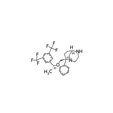 C[C@@H](OC[C@@]1(c2ccccc2)CC[C@@H]2CN1CCN2)c1cc(C(F)(F)F)cc(C(F)(F)F)c1